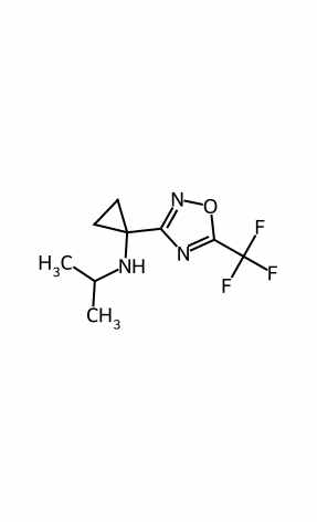 CC(C)NC1(c2noc(C(F)(F)F)n2)CC1